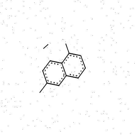 Cc1ccc2c(N)cccc2c1.O=CO